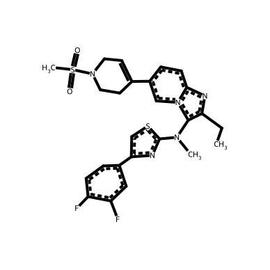 CCc1nc2ccc(C3=CCN(S(C)(=O)=O)CC3)cn2c1N(C)c1nc(-c2ccc(F)c(F)c2)cs1